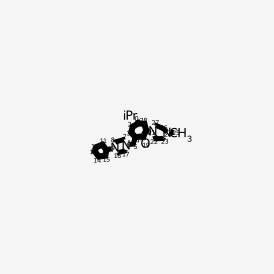 CC(C)c1ccc(CN2CCN(c3ccccc3)CC2)c(=O)c(N2CCN(C)CC2)c1